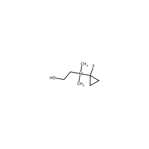 C[N+](C)(CCO)C1(F)CC1